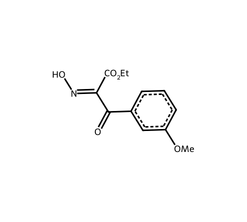 CCOC(=O)/C(=N\O)C(=O)c1cccc(OC)c1